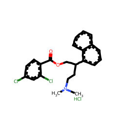 CN(C)CCC(COC(=O)c1ccc(Cl)cc1Cl)c1cccc2ccccc12.Cl